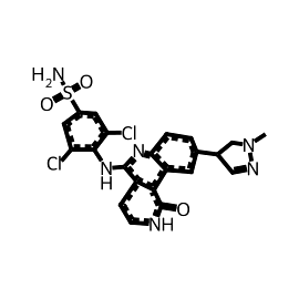 CN1CC(c2ccc3nc(Nc4c(Cl)cc(S(N)(=O)=O)cc4Cl)c4cc[nH]c(=O)c4c3c2)C=N1